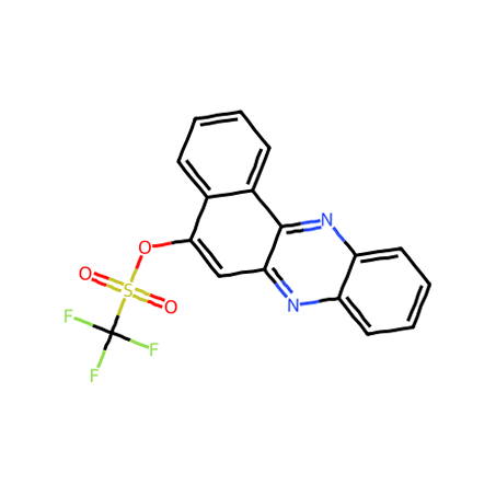 O=S(=O)(Oc1cc2nc3ccccc3nc2c2ccccc12)C(F)(F)F